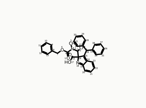 CC(N(C)C(=O)OCc1ccccc1)C1(C(=O)O)N=c2ccccc2=C1C(c1ccccc1)c1ccccc1